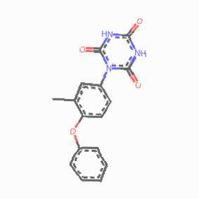 Cc1cc(-n2c(=O)[nH]c(=O)[nH]c2=O)ccc1Oc1ccccc1